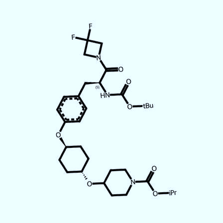 CC(C)OC(=O)N1CCC(O[C@H]2CC[C@H](Oc3ccc(C[C@H](NC(=O)OC(C)(C)C)C(=O)N4CC(F)(F)C4)cc3)CC2)CC1